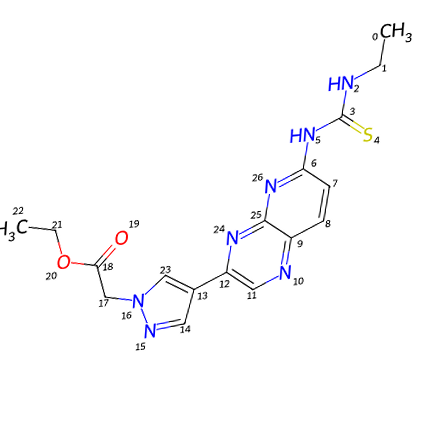 CCNC(=S)Nc1ccc2ncc(-c3cnn(CC(=O)OCC)c3)nc2n1